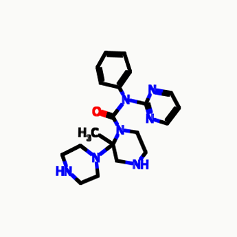 CC1(N2CCNCC2)CNCCN1C(=O)N(c1ccccc1)c1ncccn1